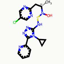 C[C@@H](Cc1ncc(Cl)cn1)N(O)SNc1nnc(-c2ccccn2)n1C1CC1